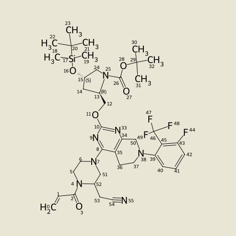 C=CC(=O)N1CCN(c2nc(OC[C@H]3C[C@H](O[Si](C)(C)C(C)(C)C)CN3C(=O)OC(C)(C)C)nc3c2CCN(c2cccc(F)c2C(F)(F)F)C3)CC1CC#N